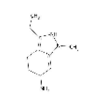 CCC1=C2CCC(N)C=C2N(C)N1